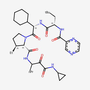 CCCC(NC(=O)[C@@H]1[C@@H](CC)CCN1C(=O)[C@@H](NC(=O)[C@H](CC(C)(C)C)NC(=O)c1cnccn1)C1CCCCC1)C(=O)C(=O)NC1CC1